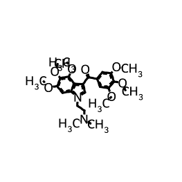 COc1cc(C(=O)c2cn(CCN(C)C)c3cc(OC)c(OC)c(OC)c23)cc(OC)c1OC